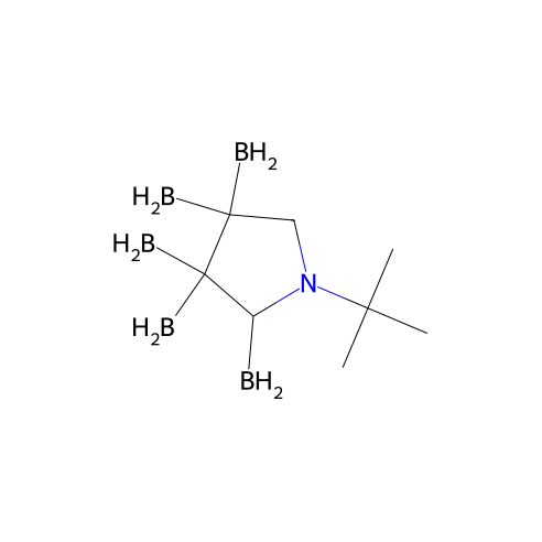 BC1N(C(C)(C)C)CC(B)(B)C1(B)B